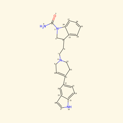 NC(=O)N1CC(CCN2CC=C(c3ccc4[nH]ccc4c3)CC2)c2ccccc21